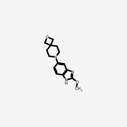 COc1nc2cc(N3CCC4(CC3)COC4)ccc2[nH]1